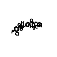 Cn1nccc1CNC(=O)c1ccc(CNS(=O)(=O)c2ccc(F)c(Cl)c2)cn1